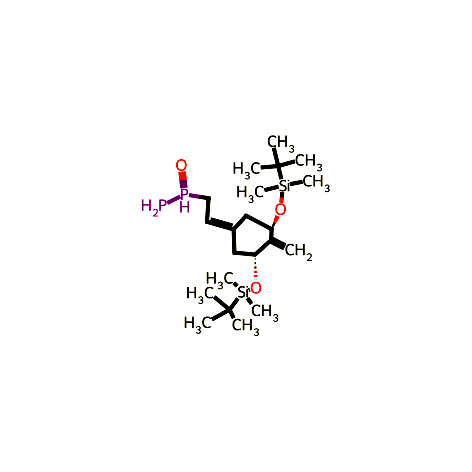 C=C1[C@H](O[Si](C)(C)C(C)(C)C)CC(=CC[PH](=O)P)C[C@H]1O[Si](C)(C)C(C)(C)C